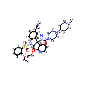 CCOc1ccccc1S(=O)(=O)N1C(=O)C(NC(=O)N2CCN(C3CCN(C)CC3)CC2)(c2cccnc2OCC)c2cc(C#N)ccc21